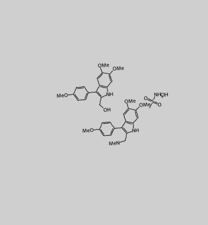 CNCc1[nH]c2cc(OC)c(OC)cc2c1-c1ccc(OC)cc1.COc1ccc(-c2c(CO)[nH]c3cc(OC)c(OC)cc23)cc1.CS(N)(=O)=O.Cl